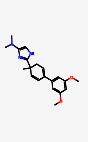 COc1cc(OC)cc(C2=CCC(C)(c3nc(N(C)C)c[nH]3)C=C2)c1